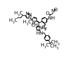 CCCC(C)c1cn(C2(C)C=C/C(=C(\c3ccc(NC(=O)CN=O)cc3)c3ccc(NCc4ccc(C(C)(C)C)cc4)n3B(F)F)N2C)nn1